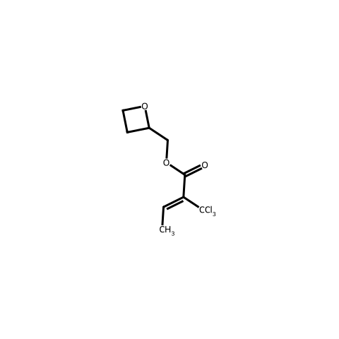 CC=C(C(=O)OCC1CCO1)C(Cl)(Cl)Cl